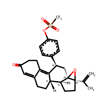 C=C(C)[C@]12CC[C@H]3[C@@H]4CCC5=CC(=O)CCC5=C4[C@@H](c4ccc(OS(=O)(=O)C(F)(F)F)cc4)C[C@@]31O2